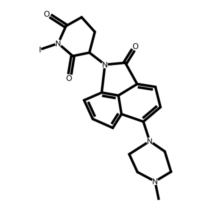 CN1CCN(c2ccc3c4c(cccc24)N(C2CCC(=O)N(I)C2=O)C3=O)CC1